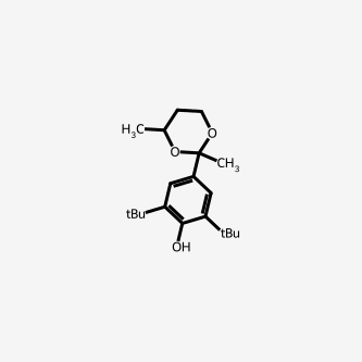 CC1CCOC(C)(c2cc(C(C)(C)C)c(O)c(C(C)(C)C)c2)O1